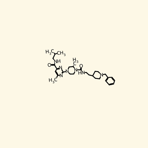 Cc1cc(C(=O)NCC(C)C)nc(N2CCN(C(=O)NCCC3CCN(Cc4ccccc4)CC3)[C@H](C)C2)n1